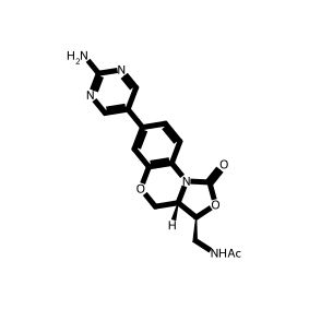 CC(=O)NC[C@@H]1OC(=O)N2c3ccc(-c4cnc(N)nc4)cc3OC[C@@H]12